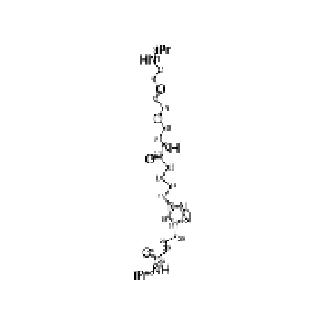 CC(C)NCCOCCOCCNC(=O)CCCCn1cc(CCCC(=O)NC(C)C)nn1